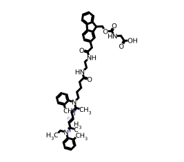 CC\[N+](=C(C)/C=C/C=C(\C)N(CCCCC(=O)NCCNC(=O)Cc1ccc2c(c1)C(COC(=O)NCC(=O)O)c1ccccc1-2)c1ccccc1C)c1ccccc1C